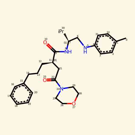 Cc1ccc(NC[C@@H](NC(=O)[C@H](CCCc2ccccc2)CC(=O)N2CCOCC2)C(C)C)cc1